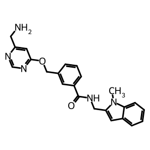 Cn1c(CNC(=O)c2cccc(COc3cc(CN)ncn3)c2)cc2ccccc21